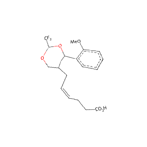 COc1ccccc1C1OC(C(F)(F)F)OCC1C/C=C\CCC(=O)O